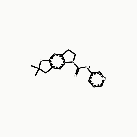 CC1(C)Cc2cc3c(cc2O1)CCN3C(=O)Nc1cccnc1